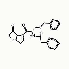 O=C(Cc1ccccc1)N[C@@H](CSCc1ccccc1)C(=O)N1CCC2OCC(=O)C21